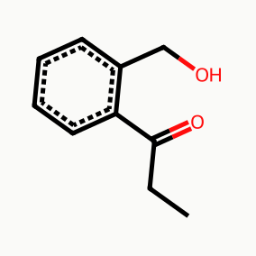 CCC(=O)c1ccccc1CO